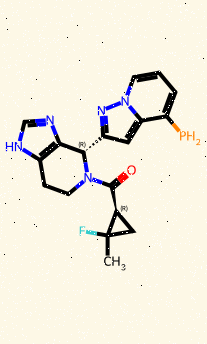 CC1(F)C[C@@H]1C(=O)N1CCc2[nH]cnc2[C@@H]1c1cc2c(P)cccn2n1